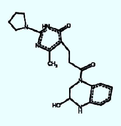 Cc1nc(N2CCCC2)[nH]c(=O)c1CCC(=O)N1CC(O)Nc2ccccc21